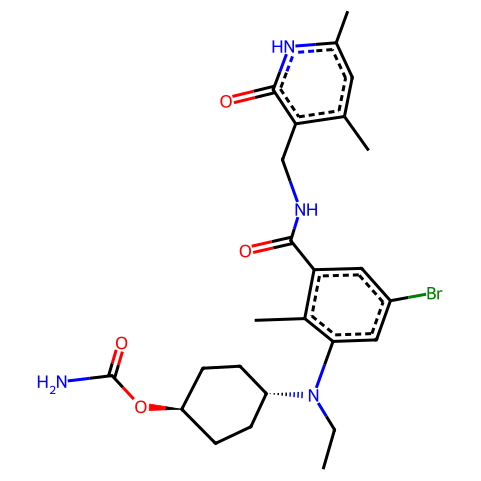 CCN(c1cc(Br)cc(C(=O)NCc2c(C)cc(C)[nH]c2=O)c1C)[C@H]1CC[C@H](OC(N)=O)CC1